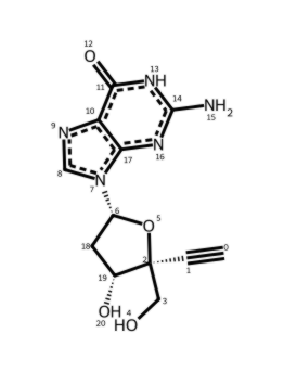 C#C[C@@]1(CO)O[C@@H](n2cnc3c(=O)[nH]c(N)nc32)C[C@H]1O